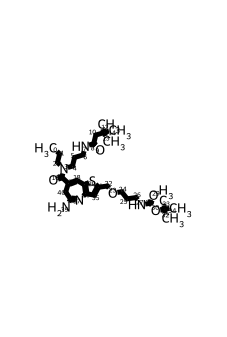 CCCN(CCCNC(=O)CC(C)(C)C)C(=O)C1=Cc2sc(COCCCNC(=O)OC(C)(C)C)cc2N=C(N)C1